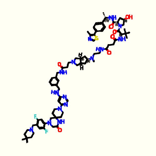 Cc1ncsc1-c1ccc([C@H](C)NC(=O)[C@@H]2C[C@@H](O)CN2C(=O)[C@@H](NC(=O)CCC(=O)NCCN(C)[C@@H]2C[C@@H]3CN(CCC(=O)NCc4cccc(CNc5cc(N6CCC7(CC6)CN(c6cc(F)c(CN8CCC(C)(C)CC8)cc6F)CC(=O)N7)ncn5)c4)C[C@@H]3C2)C(C)(C)C)cc1